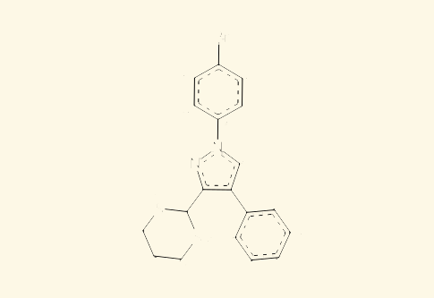 Brc1ccc(-n2cc(-c3ccccc3)c(C3SCCCS3)n2)cc1